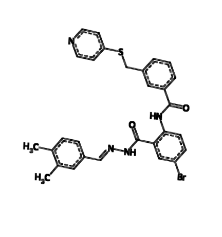 Cc1ccc(/C=N/NC(=O)c2cc(Br)ccc2NC(=O)c2cccc(CSc3ccncc3)c2)cc1C